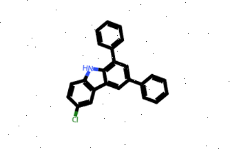 Clc1ccc2[nH]c3c(-c4ccccc4)cc(-c4ccccc4)cc3c2c1